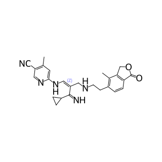 Cc1cc(N/C=C(/CNCCc2ccc3c(c2C)COC3=O)C(=N)C2CC2)ncc1C#N